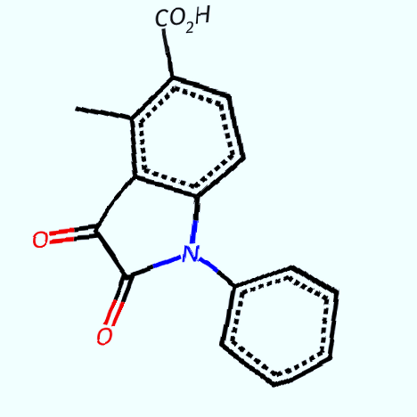 Cc1c(C(=O)O)ccc2c1C(=O)C(=O)N2c1ccccc1